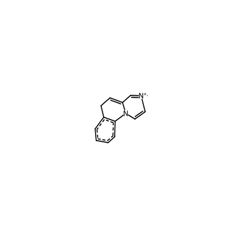 C1=CN2C(=CCc3ccccc32)C=[N+]1